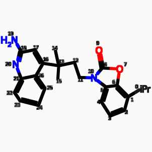 CC(C)c1cccc2c1oc(=O)n2CCC(C)(C)c1cc(N)nc2ccccc12